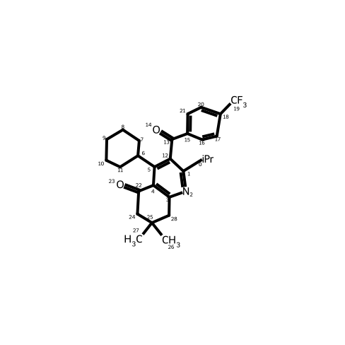 CC(C)c1nc2c(c(C3CCCCC3)c1C(=O)c1ccc(C(F)(F)F)cc1)C(=O)CC(C)(C)C2